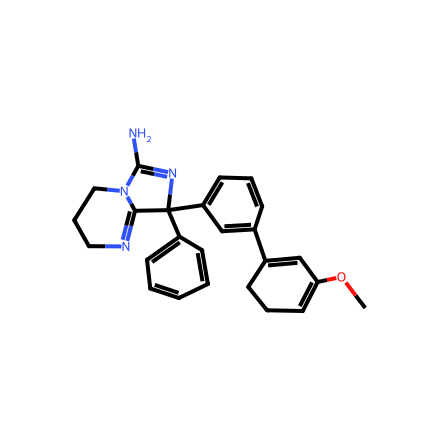 COC1=CCCC(c2cccc(C3(c4ccccc4)N=C(N)N4CCCN=C43)c2)=C1